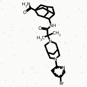 CC(C)(C(=O)NC1C2CC3CC1CC(C(N)=O)(C3)C2)N1CC2CC(CN(c3ccc(Br)cn3)C2)C1